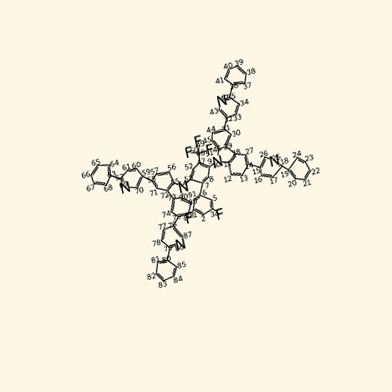 Fc1cc(F)cc(-c2cc(-n3c4ccc(-c5ccc(-c6ccccc6)nc5)cc4c4cc(-c5ccc(-c6ccccc6)nc5)ccc43)c(C(F)(F)F)cc2-n2c3ccc(-c4ccc(-c5ccccc5)nc4)cc3c3cc(-c4ccc(-c5ccccc5)nc4)ccc32)c1